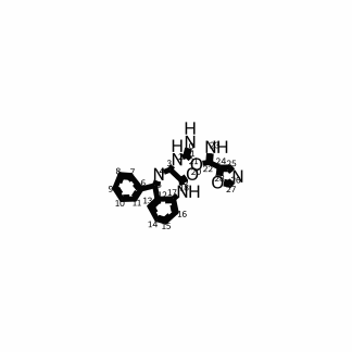 N=C(NC1N=C(c2ccccc2)c2ccccc2NC1=O)OC(=N)c1cnco1